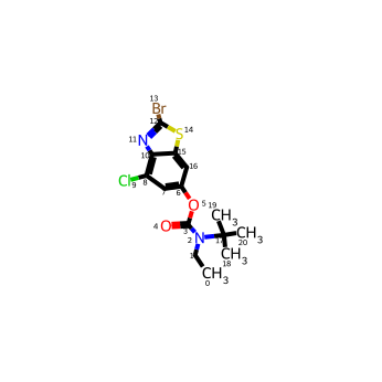 CCN(C(=O)Oc1cc(Cl)c2nc(Br)sc2c1)C(C)(C)C